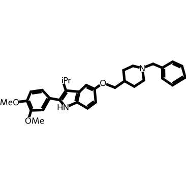 COc1ccc(-c2[nH]c3ccc(OCC4CCN(Cc5ccccc5)CC4)cc3c2C(C)C)cc1OC